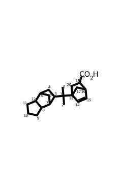 CC(C)(C1CC2CC1C1CCCC21)C12C=CC(C1)C(C(=O)O)C2